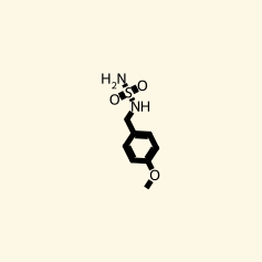 COc1ccc(CNS(N)(=O)=O)cc1